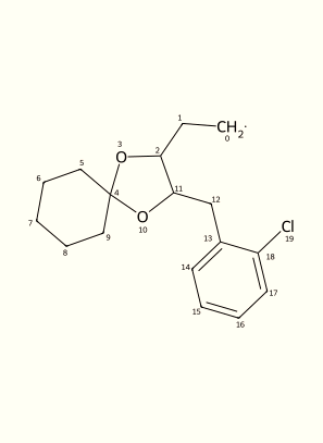 [CH2]CC1OC2(CCCCC2)OC1Cc1ccccc1Cl